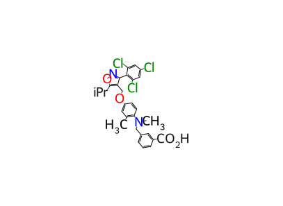 Cc1cc(OCc2c(-c3c(Cl)cc(Cl)cc3Cl)noc2C(C)C)ccc1N(C)Cc1cccc(C(=O)O)c1